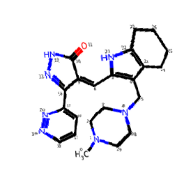 CN1CCN(Cc2c(C=C3C(=O)NN=C3c3cccnn3)[nH]c3c2CCCC3)CC1